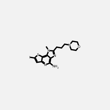 Cn1c(CCCN2CCOCC2)nc2c(N)nc3cc(I)sc3c21